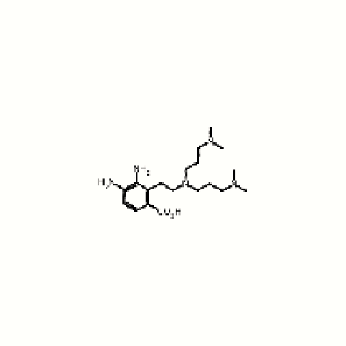 CN(C)CCCN(CCCN(C)C)CCc1c(C(=O)O)ccc(N)c1N